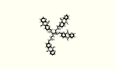 CN1c2cccnc2N(C)c2nc(CNCCC(NCc3ccc4c(n3)N(C)c3ncccc3N4C)C(CNCc3ccc4c(n3)N(C)c3ncccc3N4C)NCc3ccc4c(n3)N(C)c3ncccc3N4C)ccc21